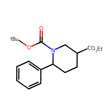 CCOC(=O)C1CCC(c2ccccc2)N(C(=O)OC(C)(C)C)C1